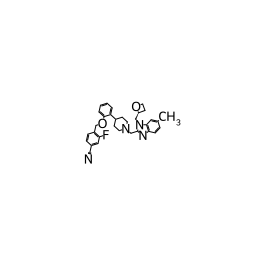 Cc1ccc2nc(CN3CCC(c4ccccc4OCc4ccc(C#N)cc4F)CC3)n(C[C@@H]3CCO3)c2c1